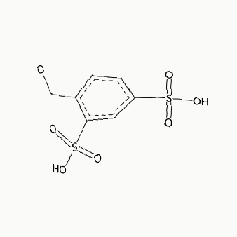 [O]Cc1ccc(S(=O)(=O)O)cc1S(=O)(=O)O